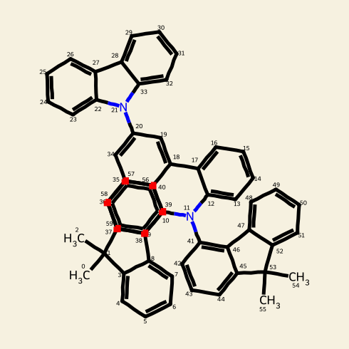 CC1(C)c2ccccc2-c2c(N(c3ccccc3-c3cc(-n4c5ccccc5c5ccccc54)cc4ccccc34)c3cccc4c3-c3ccccc3C4(C)C)cccc21